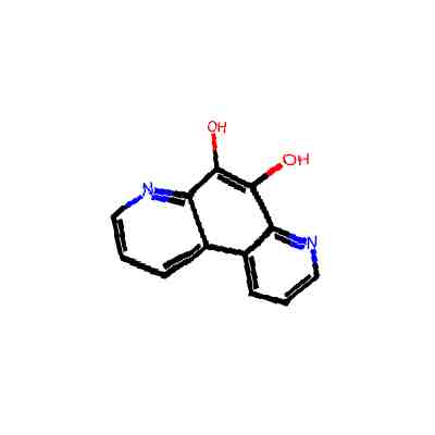 Oc1c(O)c2ncccc2c2cccnc12